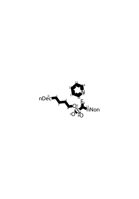 CCCCCCCCCCCCCCOS(=O)(=O)C(F)CCCCCCCCC.c1ccncc1